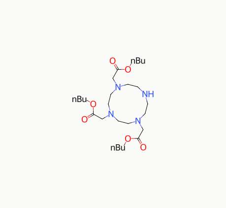 CCCCOC(=O)CN1CCNCCN(CC(=O)OCCCC)CCN(CC(=O)OCCCC)CC1